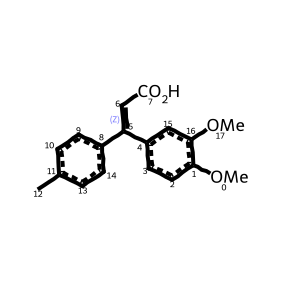 COc1ccc(/C(=C\C(=O)O)c2ccc(C)cc2)cc1OC